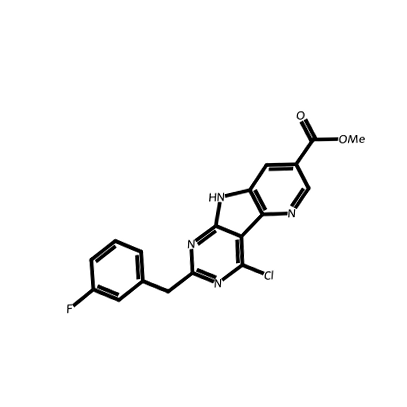 COC(=O)c1cnc2c(c1)[nH]c1nc(Cc3cccc(F)c3)nc(Cl)c12